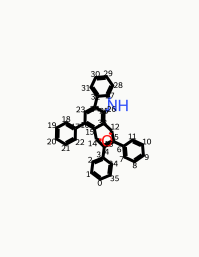 c1ccc(C2=C(c3ccccc3)C3OC2c2c(-c4ccccc4)cc4c([nH]c5ccccc54)c23)cc1